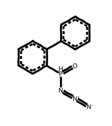 [N-]=[N+]=N[PH](=O)c1ccccc1-c1ccccc1